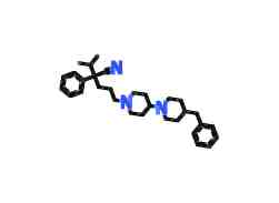 CC(C)C(C#N)(CCCN1CCC(N2CCC(Cc3ccccc3)CC2)CC1)c1ccccc1